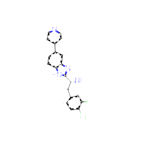 N[C@H](Cc1ccc(Cl)c(Cl)c1)c1nc2cc(-c3ccncc3)ccc2[nH]1